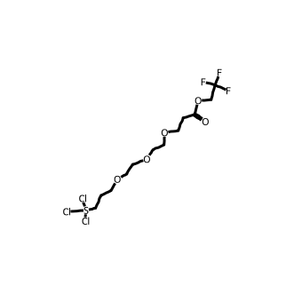 O=C(CCOCCOCCOCCCS(Cl)(Cl)Cl)OCC(F)(F)F